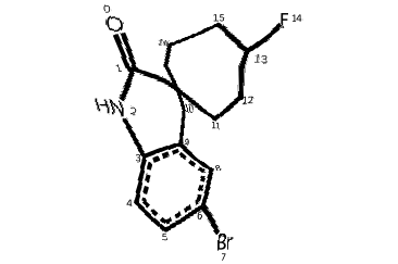 O=C1Nc2ccc(Br)cc2C12CCC(F)CC2